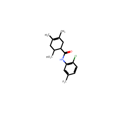 CC1=C(C)CC(C(=O)Nc2cc(C(F)(F)F)ccc2Cl)C(C(=O)O)C1